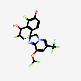 OC1c2c(ccc(Br)c2F)[C@@]2(CC1F)CN1C=C(C(F)(F)F)C=C(OC(F)F)C1=N2